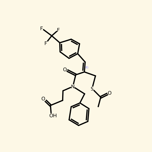 CC(=O)SC/C(=C/c1ccc(C(F)(F)F)cc1)C(=O)N(CCC(=O)O)Cc1ccccc1